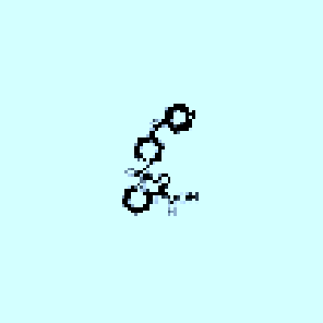 O=C(NO)[C@H]1CCCCN1S(=O)(=O)N1CCC(Sc2ccncc2)CC1